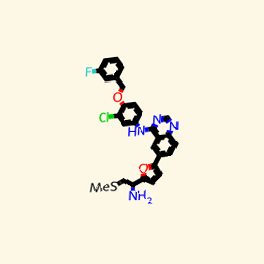 CSCC(N)c1ccc(-c2ccc3ncnc(Nc4ccc(OCc5cccc(F)c5)c(Cl)c4)c3c2)o1